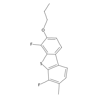 CCCOc1ccc2c(sc3c(F)c(C)ccc32)c1F